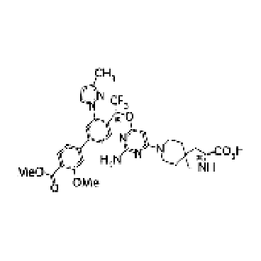 COC(=O)c1ccc(-c2ccc([C@@H](Oc3cc(N4CCC5(CC4)CN[C@H](C(=O)O)C5)nc(N)n3)C(F)(F)F)c(-n3ccc(C)n3)c2)cc1OC